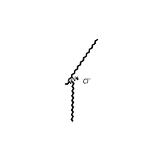 CCCCCCCCCCCCCCCCCCC1CN(CC)C(CCCCCCCCCCCCCCCCC)=[N+]1CC.[Cl-]